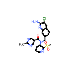 CS(=O)(=O)c1ncccc1N(Cc1ccc2cc(Cl)c(N)nc2c1)C(=O)c1cnc(C(F)(F)F)nc1